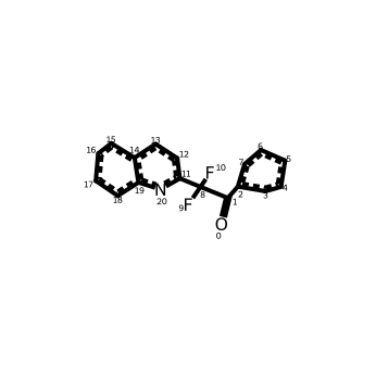 O=C(c1ccccc1)C(F)(F)c1ccc2ccccc2n1